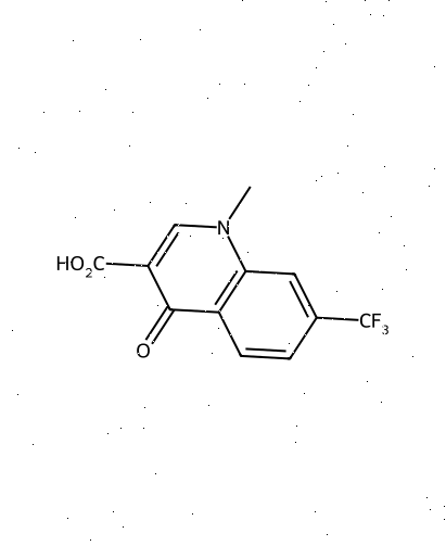 Cn1cc(C(=O)O)c(=O)c2ccc(C(F)(F)F)cc21